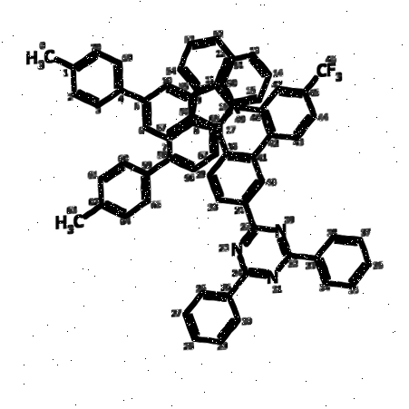 Cc1ccc(-c2ccc3c(c2)c2ccccc2n3-c2ccc(-c3nc(-c4ccccc4)nc(-c4ccccc4)n3)cc2-c2ccc(C(F)(F)F)cc2-n2c3ccccc3c3cc(-c4ccc(C)cc4)ccc32)cc1